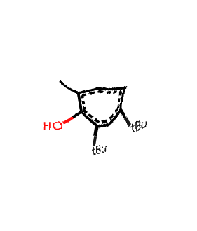 Cc1ccc(C(C)(C)C)c(C(C)(C)C)c1O